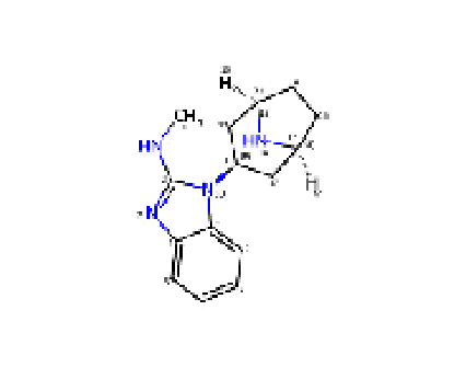 CNc1nc2ccccc2n1[C@H]1C[C@H]2CC[C@@H](C1)N2